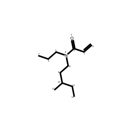 C=CC(=O)N(CCC)CCC(C)CC